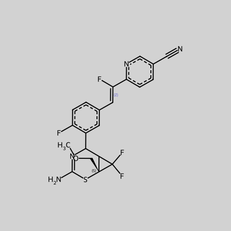 COC[C@@]12SC(N)=NC(c3cc(/C=C(\F)c4ccc(C#N)cn4)ccc3F)C1C2(F)F